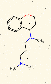 CN(C)CCCN(C)C1CCOc2ccccc21